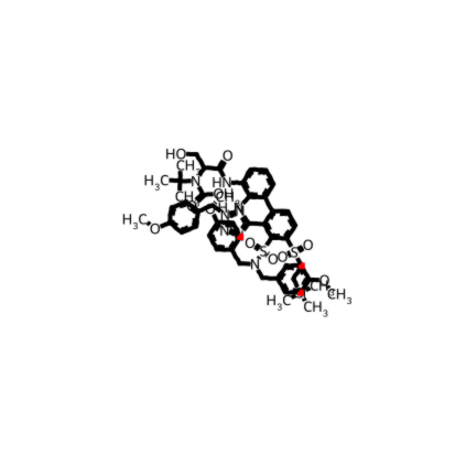 COc1ccc(CN(Cc2ccc(OC)cc2)S(=O)(=O)c2c(S(=O)(=O)CC[Si](C)(C)C)ccc(-c3cccc(NC(=O)C(CO)N(C(=O)O)C(C)(C)C)c3N)c2-c2nnn(Cc3ccc(OC)cc3)n2)cc1